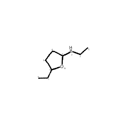 CCBC1CCC(CC)O1